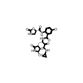 C[C@@H]1C[C@@H](C[C@H](NC(=O)c2cc(Cl)ccc2NC(=O)[C@@H]2CNC(=O)O2)C(=O)C(=O)NC2CC2)C(=O)N1